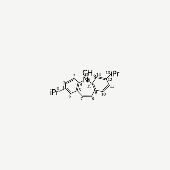 CC(C)c1ccc2c(c1)C=Cc1ccc(C(C)C)cc1N2C